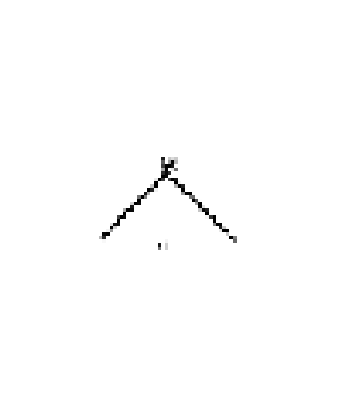 CCCCCCCCCCCCCCCCCC[N+](C)(CCCCCCCCCCCCCCCCCC)C(C)(O)CC.[Cl-]